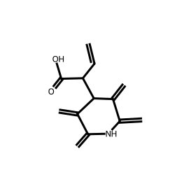 C=CC(C(=O)O)C1C(=C)C(=C)NC(=C)C1=C